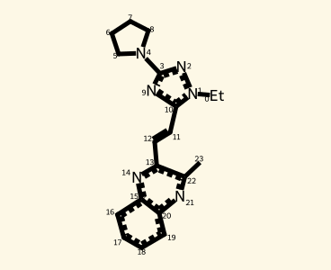 CCn1nc(N2CCCC2)nc1C=Cc1nc2ccccc2nc1C